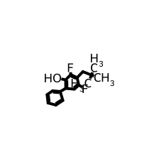 CC(C)(C)Cc1c(F)cc(-c2ccccc2)c(O)c1F